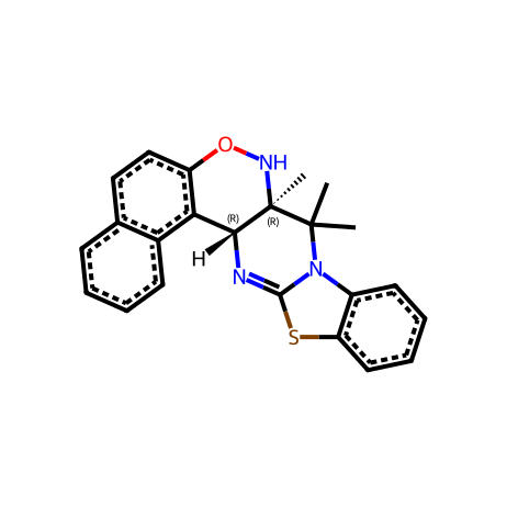 CC1(C)N2C(=N[C@@H]3c4c(ccc5ccccc45)ON[C@]31C)Sc1ccccc12